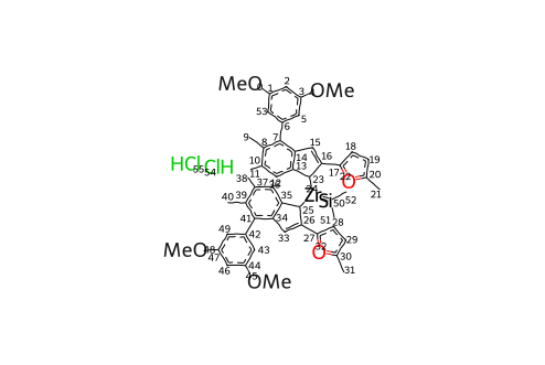 COc1cc(OC)cc(-c2c(C)c(C)cc3c2C=C(c2ccc(C)o2)[CH]3[Zr]([CH]2C(c3ccc(C)o3)=Cc3c2cc(C)c(C)c3-c2cc(OC)cc(OC)c2)=[Si](C)C)c1.Cl.Cl